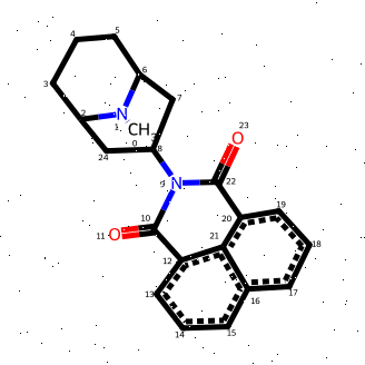 CN1C2CCCC1CC(N1C(=O)c3cccc4cccc(c34)C1=O)C2